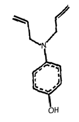 C=CCN(CC=C)c1ccc(O)cc1